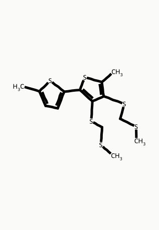 CSCSc1c(C)sc(-c2ccc(C)s2)c1SCSC